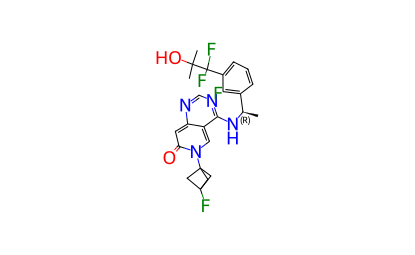 C[C@@H](Nc1ncnc2cc(=O)n(C34CC(F)(C3)C4)cc12)c1cccc(C(F)(F)C(C)(C)O)c1F